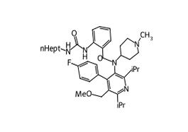 CCCCCCCNC(=O)Nc1ccccc1C(=O)N(c1c(C(C)C)nc(C(C)C)c(COC)c1-c1ccc(F)cc1)C1CCN(C)CC1